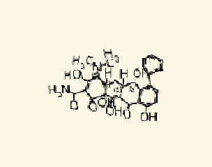 CN(C)[C@@H]1C(O)=C(C(N)=O)C(=O)[C@@]2(O)C(O)=C3C(=O)c4c(O)ccc(-c5ccccc5)c4[C@@H](O)[C@H]3C[C@@H]12